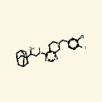 OC(CNc1ncnc2c1CCN(Cc1ccc(Cl)c(Cl)c1)C2)C12CC3CC(CC(C3)C1)C2